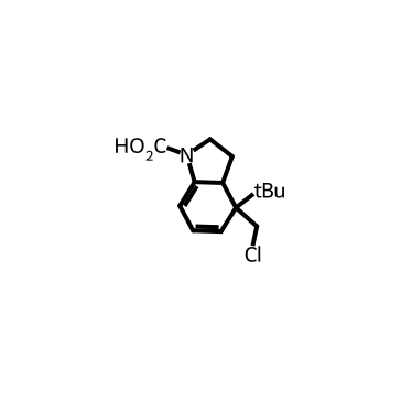 CC(C)(C)C1(CCl)C=CC=C2C1CCN2C(=O)O